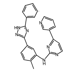 Cc1ccc(-c2n[nH]c(-c3c[c]ccc3)n2)cc1Nc1nccc(-c2cccnc2)n1